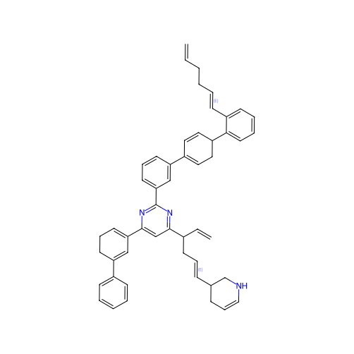 C=CCC/C=C/c1ccccc1C1C=CC(c2cccc(-c3nc(C4=CCCC(c5ccccc5)=C4)cc(C(C=C)C/C=C/C4CC=CNC4)n3)c2)=CC1